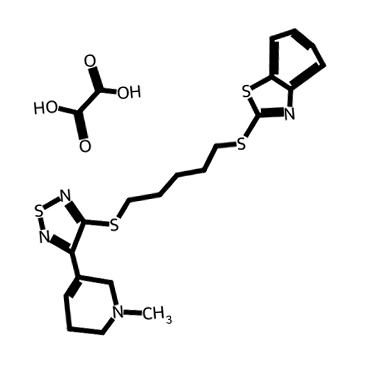 CN1CCC=C(c2nsnc2SCCCCCSc2nc3ccccc3s2)C1.O=C(O)C(=O)O